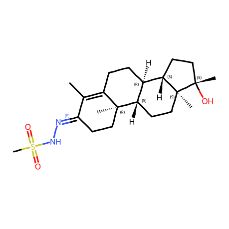 CC1=C2CC[C@@H]3[C@H](CC[C@@]4(C)[C@H]3CC[C@]4(C)O)[C@@]2(C)CC/C1=N\NS(C)(=O)=O